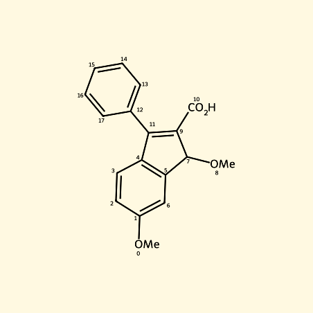 COc1ccc2c(c1)C(OC)C(C(=O)O)=C2c1ccccc1